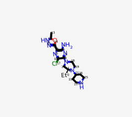 CC[C@H]1CN(c2nc(N)c(C3=NNC(C)O3)nc2Cl)CCN1C1CCNCC1